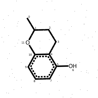 CC1CCc2c(O)cccc2O1